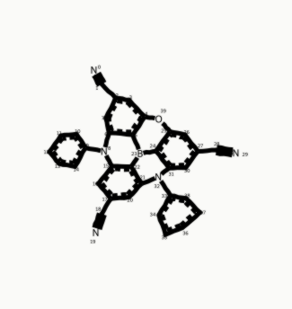 N#Cc1cc2c3c(c1)N(c1ccccc1)c1cc(C#N)cc4c1B3c1c(cc(C#N)cc1N4c1ccccc1)O2